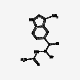 CC(C)N(NC(N)=S)C(=O)c1ccc2[nH]cc([N+](=O)[O-])c2c1